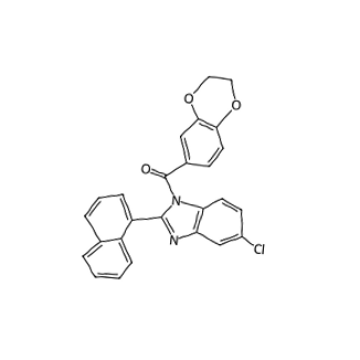 O=C(c1ccc2c(c1)OCCO2)n1c(-c2cccc3ccccc23)nc2cc(Cl)ccc21